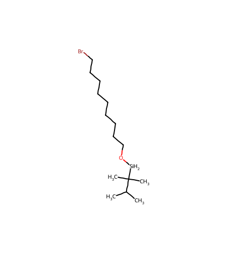 CC(C)C(C)(C)[SiH2]OCCCCCCCCCBr